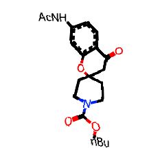 CCCCOC(=O)N1CCC2(CC1)CC(=O)c1ccc(NC(C)=O)cc1O2